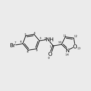 O=C(Nc1ccc(Br)cc1)c1ccon1